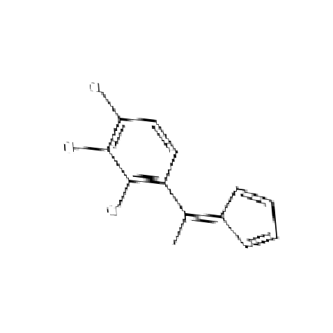 CC(=C1C=CC=C1)c1ccc(Cl)c(Cl)c1Cl